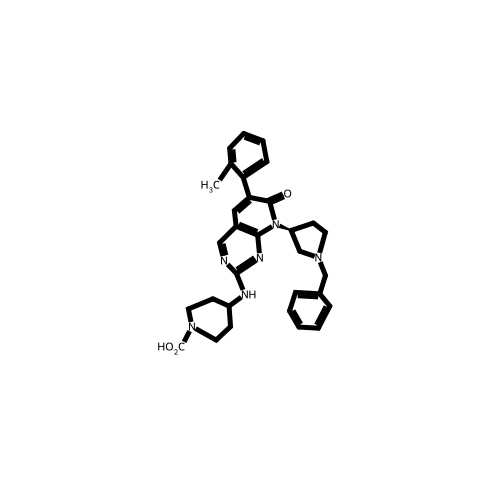 Cc1ccccc1-c1cc2cnc(NC3CCN(C(=O)O)CC3)nc2n([C@H]2CCN(Cc3ccccc3)C2)c1=O